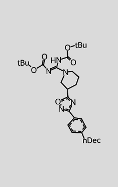 CCCCCCCCCCc1ccc(-c2noc([C@@H]3CCCN(C(=NC(=O)OC(C)(C)C)NC(=O)OC(C)(C)C)C3)n2)cc1